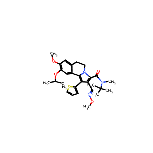 CON=Cc1c(-c2cccs2)c2n(c1C(=O)N(C)C(C)(C)C)CCc1cc(OC)c(OC(C)C)cc1-2